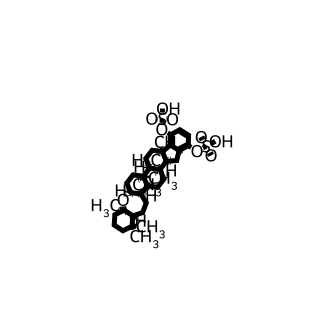 CC1(C)CCC[C@]2(C)O[C@H]3CC[C@@]4(C)[C@@H](CC[C@]5(C)[C@@H]4CC[C@]4(C)c6c(OS(=O)(=O)O)ccc(OS(=O)(=O)O)c6C[C@@H]54)[C@]3(C)CC[C@@H]12